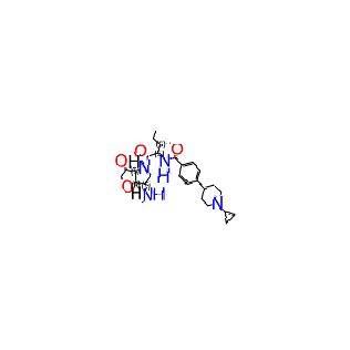 CC[C@H](C)[C@H](NC(=O)c1ccc(C2CCN(C3CC3)CC2)cc1)C(=O)N1C[C@H](NC)[C@H]2OCC(=O)[C@H]21